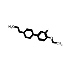 CCCC1C=CC(c2ccc(OCC)c(F)c2)CC1